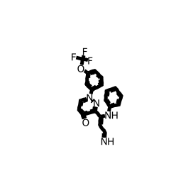 N=C/C=C(\Nc1ccccc1)c1nn(-c2cccc(OC(F)(F)F)c2)ccc1=O